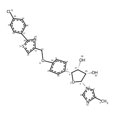 Cc1cn([C@@H]2O[C@H](c3ccc(OCc4csc(-c5ccc(Cl)cc5)n4)cc3)[C@H](O)[C@@H]2O)cn1